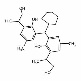 Cc1cc(C(C)CO)c(O)c(C(c2cc(C)cc(C(C)CO)c2O)C2CCCCC2)c1